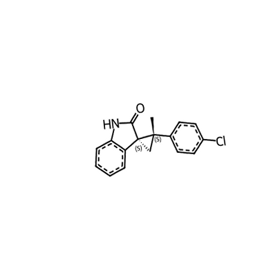 C[C@@]1(c2ccc(Cl)cc2)C[C@]12C(=O)Nc1ccccc12